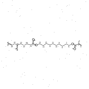 C=C(C)C(=O)OCCCCCCCCCCOC(=O)CCCCC(=S)CC=S